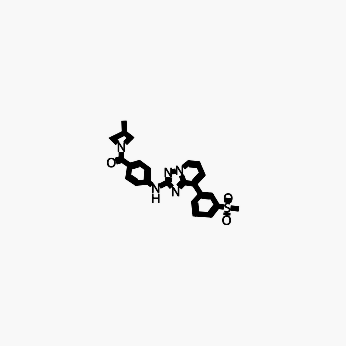 CC1CN(C(=O)c2ccc(Nc3nc4c(-c5cccc(S(C)(=O)=O)c5)cccn4n3)cc2)C1